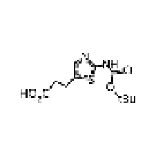 CC(C)(C)OC(=O)Nc1ncc(CCC(=O)O)s1